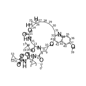 CC[C@@H]1C[C@]1(NC(=O)[C@@H]1CC2CN1C(=O)[C@H](C(C)(C)C)NC(=O)O[C@H]1C[C@@H]1CCCCCc1nc3ccc(OC)cc3cc1O2)C(=O)NS(=O)(=O)C1CC1